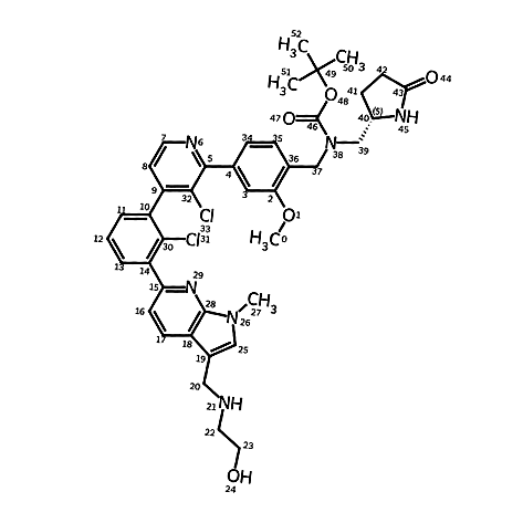 COc1cc(-c2nccc(-c3cccc(-c4ccc5c(CNCCO)cn(C)c5n4)c3Cl)c2Cl)ccc1CN(C[C@@H]1CCC(=O)N1)C(=O)OC(C)(C)C